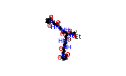 CCOC(C)C(=O)NC(CC(=O)NCCNC(=O)CCN1C(=O)C=CC1=O)CC(=O)NCCNC(=O)CCN1C(=O)C=CC1=O